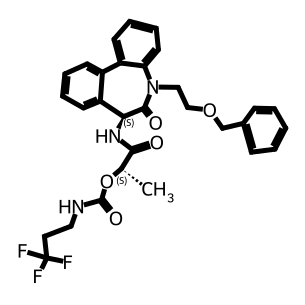 C[C@H](OC(=O)NCCC(F)(F)F)C(=O)N[C@@H]1C(=O)N(CCOCc2ccccc2)c2ccccc2-c2ccccc21